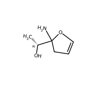 C[C@@H](O)C1(N)CC=CO1